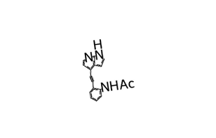 CC(=O)Nc1ccccc1C#Cc1ccnc2[nH]ccc12